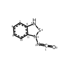 O=C=NN1SNc2ccccc21